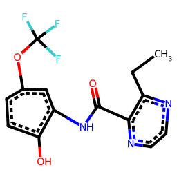 CCc1nccnc1C(=O)Nc1cc(OC(F)(F)F)ccc1O